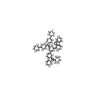 c1ccc(-c2ccc(N(c3ccc(-c4ccccc4)cc3)c3cc(-c4ccc5c6ccccc6n(-c6ccccc6)c5c4)cc(-c4cccc5c4oc4ccccc45)c3)cc2)cc1